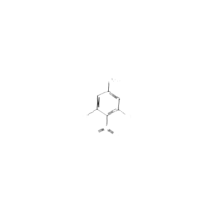 CSc1cc(Cl)c([SH](=O)=O)c(Cl)c1